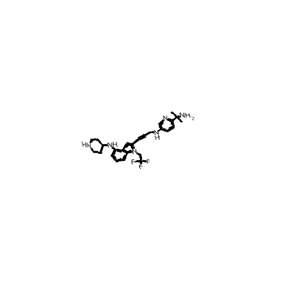 CC(C)(N)c1ccc(NCC#Cc2cc3c(NC4CCNCC4)cccc3n2CC(F)(F)F)cn1